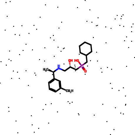 C[C@@H](NC[C@H](O)CP(=O)(O)CC1CCCCC1)c1cccc(C(=O)O)c1